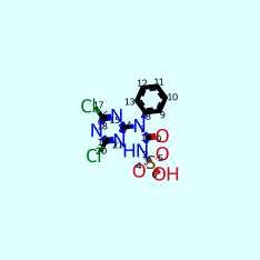 O=C(NS(=O)(=O)O)N(c1ccccc1)c1nc(Cl)nc(Cl)n1